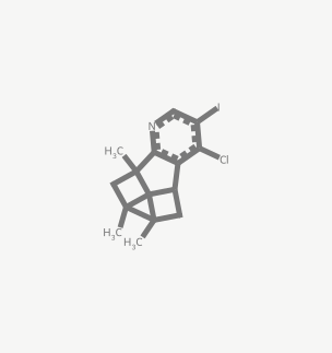 CC12CC3(C)C4(C)CC(c5c1ncc(I)c5Cl)C243